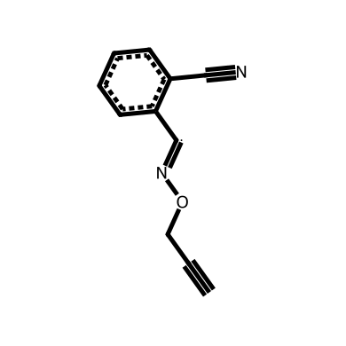 C#CCON=[C]c1ccccc1C#N